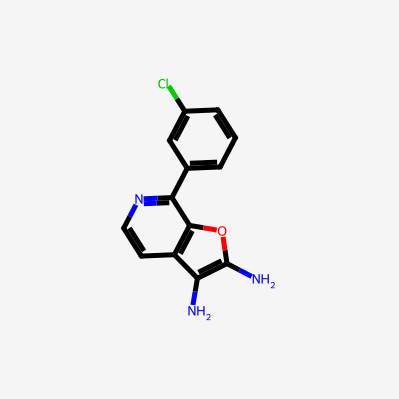 Nc1oc2c(-c3cccc(Cl)c3)nccc2c1N